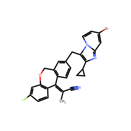 CC(C#N)=C1c2ccc(Cc3c(C4CC4)nc4cc(Br)ccn34)cc2COc2cc(F)ccc21